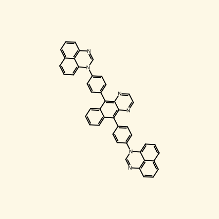 C1=Nc2cccc3cccc(c23)N1c1ccc(-c2c3ccccc3c(-c3ccc(N4C=Nc5cccc6cccc4c56)cc3)c3nccnc23)cc1